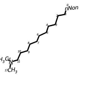 CCCCCCCCCCCCCCCCCCC[CH]N(C)C